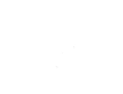 COCCC(=O)N1CCN(c2nc(C3CC3)c(-c3ccc(F)cc3)c(C)c2C(=O)O)CC1C